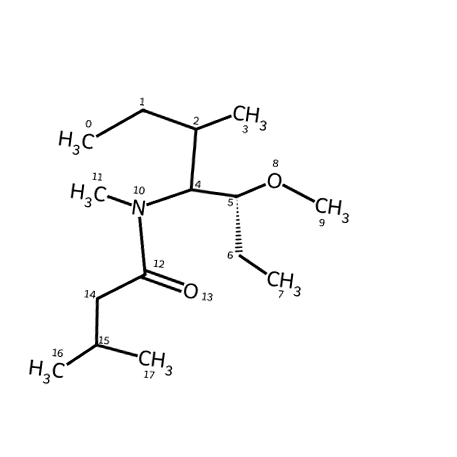 CCC(C)C([C@@H](CC)OC)N(C)C(=O)CC(C)C